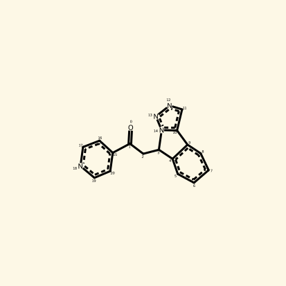 O=C(CC1c2ccccc2-c2cnnn21)c1ccncc1